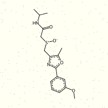 COc1cccc(-c2nc(C[S+]([O-])CC(=O)NC(C)C)c(C)o2)c1